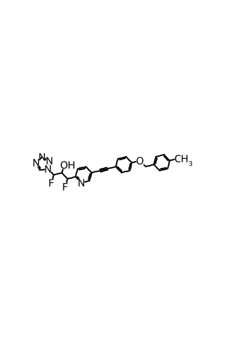 Cc1ccc(COc2ccc(C#Cc3ccc(C(F)C(O)C(F)n4cnnn4)nc3)cc2)cc1